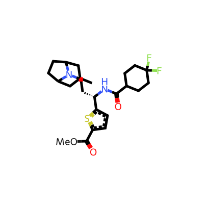 COC(=O)c1ccc([C@H](CCN2C3CCC2CC(C)C3)NC(=O)C2CCC(F)(F)CC2)s1